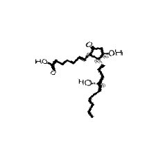 CCCCC[C@H](O)CC=C[C@H]1[C@H](O)CC(=O)[C@@H]1CCCCCCC(=O)O